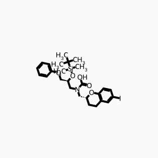 CC(C)(C)[Si](C)(C)O[C@H](COc1ccccc1)CN(C[C@H]1CCc2cc(I)ccc2O1)C(=O)O